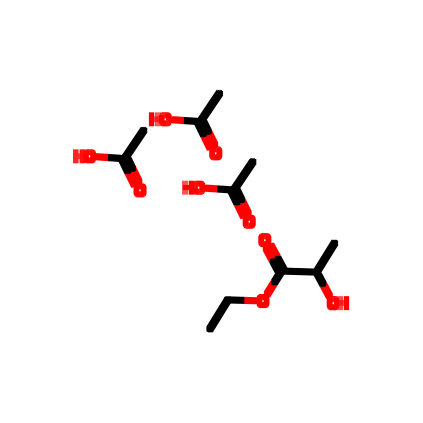 CC(=O)O.CC(=O)O.CC(=O)O.CCOC(=O)C(C)O